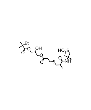 CCC(C)(C)C(=O)OCC(O)COC(=O)CCSCC(C)C(=O)NC(C)(C)CS(=O)(=O)O